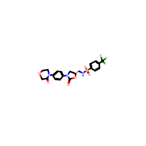 O=C1COCCN1c1ccc(N2C[C@H](CNS(=O)(=O)c3ccc(C(F)(F)F)cc3)OC2=O)cc1